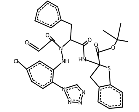 CC(C)(C)OC(=O)C1(NC(=O)C(Cc2ccccc2)N(Nc2cc(Cl)ccc2-n2cnnn2)C(=O)C=O)Cc2ccccc2S1